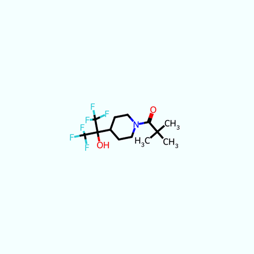 CC(C)(C)C(=O)N1CCC(C(O)(C(F)(F)F)C(F)(F)F)CC1